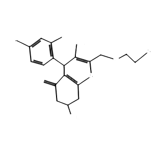 CCOC(=O)C1=C(COCCN)NC2=C(C(=O)CC(C)C2)C1c1ccc(Cl)cc1Cl